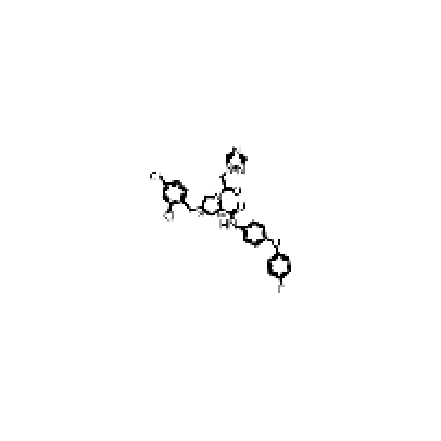 O=C(Nc1ccc(Oc2ccc(F)cc2)cc1)[C@H]1C[C@@H](Cc2ccc(Cl)cc2Cl)CN1C(=O)Cn1cncn1